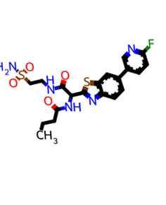 CCCC(=O)NC(C(=O)NCCS(N)(=O)=O)c1nc2ccc(-c3ccc(F)nc3)cc2s1